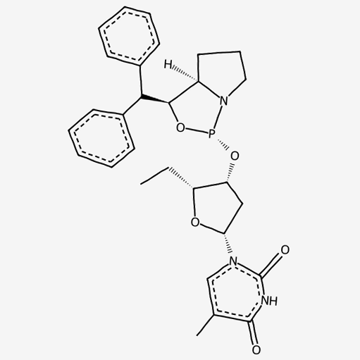 CC[C@H]1O[C@@H](n2cc(C)c(=O)[nH]c2=O)C[C@H]1O[P@]1O[C@@H](C(c2ccccc2)c2ccccc2)[C@H]2CCCN21